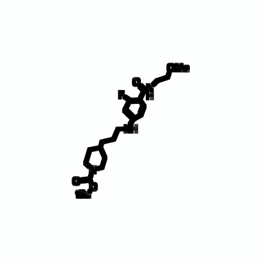 COCCNC(=O)c1ccc(NCCCC2CCN(C(=O)OC(C)(C)C)CC2)cc1F